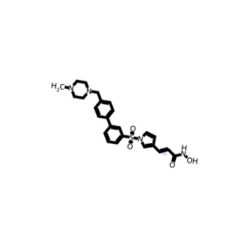 CN1CCN(Cc2ccc(-c3cccc(S(=O)(=O)n4ccc(/C=C/C(=O)NO)c4)c3)cc2)CC1